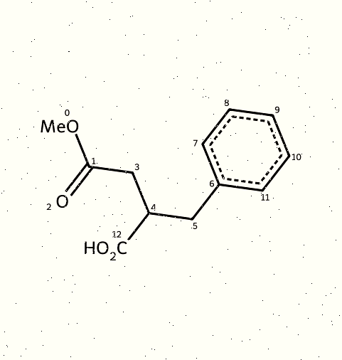 COC(=O)CC(Cc1ccccc1)C(=O)O